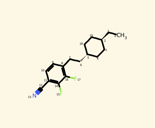 CC[C@H]1CC[C@H](CCc2ccc(C#N)c(F)c2F)CC1